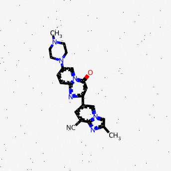 Cc1cn2cc(-c3cc(=O)n4cc(N5CCN(C)CC5)ccc4n3)cc(C#N)c2n1